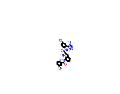 N#Cc1cccc(C(=O)Nc2cccc3cc(C(=O)Nc4ccc(Cl)cc4-c4nnn[nH]4)[nH]c23)c1